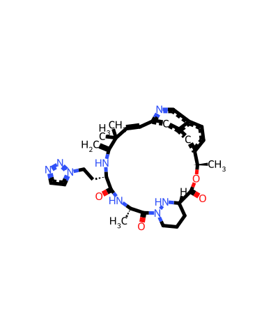 C=C1N[C@@H](CCn2ccnn2)C(=O)N[C@@H](C)C(=O)N2CCC[C@H](N2)C(=O)O[C@H](C)c2ccc3cnc(cc3c2)/C=C/C1(C)C